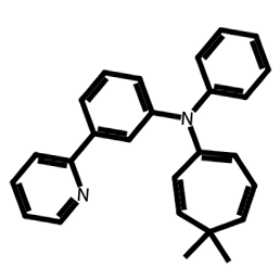 CC1(C)C=CC=C(N(c2ccccc2)c2cccc(-c3ccccn3)c2)C=C1